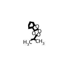 CCC(C)C(=O)OC1C(=O)Oc2ccccc21